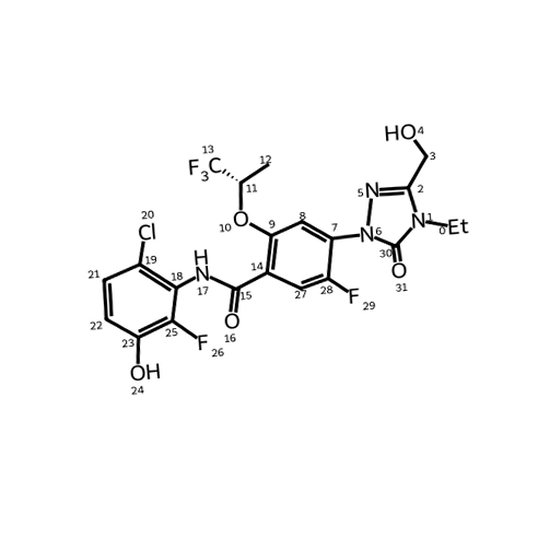 CCn1c(CO)nn(-c2cc(O[C@@H](C)C(F)(F)F)c(C(=O)Nc3c(Cl)ccc(O)c3F)cc2F)c1=O